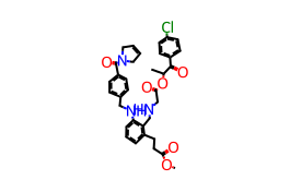 COC(=O)CCc1cccc(NCc2ccc(C(=O)N3CC=CC3)cc2)c1CNCC(=O)OC(C)C(=O)c1ccc(Cl)cc1